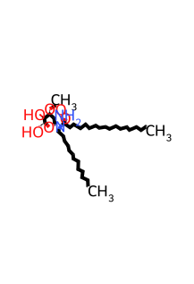 CCCCCCCCCCCCCCCCCC(=O)N(CCCCCCCCCCCCCC)C1O[C@H](CO)[C@@H](O)[C@H](OC(C)=O)[C@H]1N